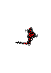 CCCCCCCCCCCCCCCC1OCC(COC(=O)OC2=C(C)[C@@H]3C[C@H]4OC(=O)C(OC(=O)CC5(O)CCCCC5)[C@H]5[C@]6(C(=O)OC)OC[C@]45[C@H]([C@@H](O)[C@@H]6O)[C@@]3(C)CC2=O)O1